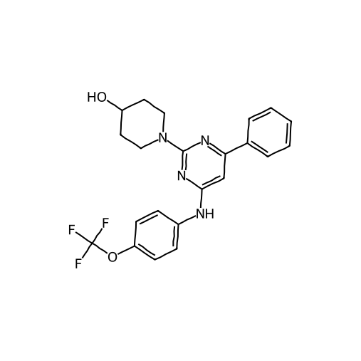 OC1CCN(c2nc(Nc3ccc(OC(F)(F)F)cc3)cc(-c3ccccc3)n2)CC1